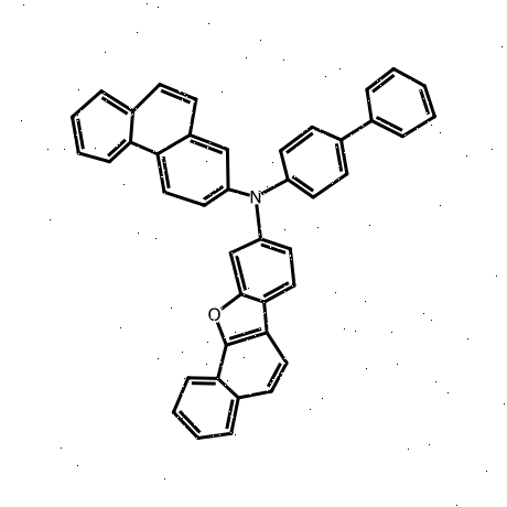 c1ccc(-c2ccc(N(c3ccc4c(ccc5ccccc54)c3)c3ccc4c(c3)oc3c5ccccc5ccc43)cc2)cc1